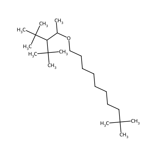 CC(OCCCCCCCCC(C)(C)C)C(C(C)(C)C)C(C)(C)C